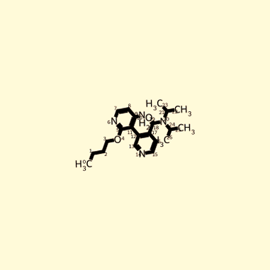 CCCCOc1nccc(N)c1-c1cnccc1C(=O)N(C(C)C)C(C)C